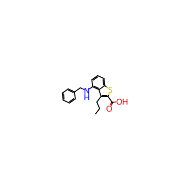 CCCc1c(C(=O)O)sc2cccc(NCc3ccccc3)c12